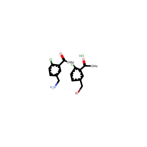 COC(=O)c1cc(CBr)ccc1Cl.COC(=O)c1cc(CN)ccc1Cl.Cl